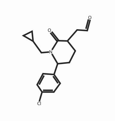 O=CCC1CCC(c2ccc(Cl)cc2)N(CC2CC2)C1=O